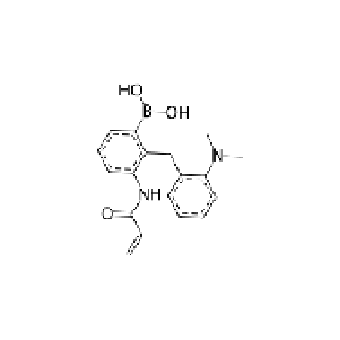 C=CC(=O)Nc1cccc(B(O)O)c1Cc1ccccc1N(C)C